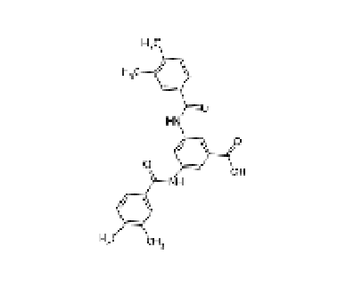 Cc1ccc(C(=O)Nc2cc(NC(=O)c3ccc(C)c(C)c3)cc(C(=O)O)c2)cc1C